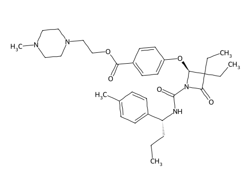 CCC[C@@H](NC(=O)N1C(=O)C(CC)(CC)[C@@H]1Oc1ccc(C(=O)OCCN2CCN(C)CC2)cc1)c1ccc(C)cc1